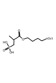 CCCCCCCCCCCCOC(=O)C(C)CP(=O)(O)O